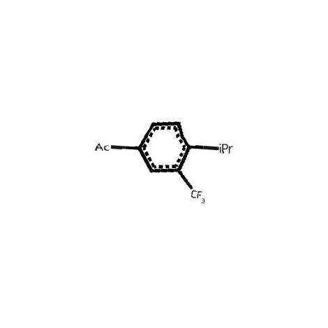 CC(=O)c1ccc(C(C)C)c(C(F)(F)F)c1